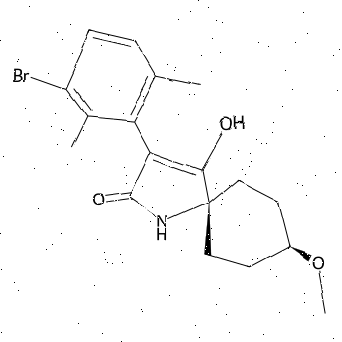 CO[C@H]1CC[C@@]2(CC1)NC(=O)C(c1c(C)ccc(Br)c1C)=C2O